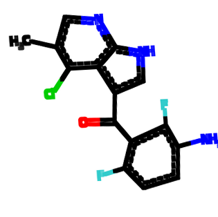 Cc1cnc2[nH]cc(C(=O)c3c(F)ccc(N)c3F)c2c1Cl